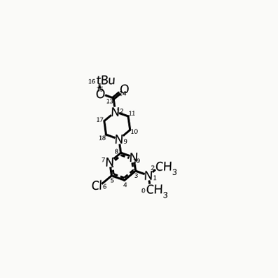 CN(C)c1cc(Cl)nc(N2CCN(C(=O)OC(C)(C)C)CC2)n1